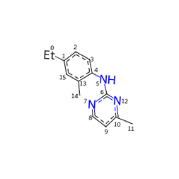 CCc1ccc(Nc2nccc(C)n2)c(C)c1